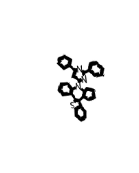 c1ccc(-c2cc(N3c4ccccc4-c4sc5ccccc5c4-c4ccccc43)nc(-c3ccccc3)n2)cc1